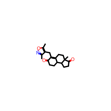 Cc1noc(C)c1CC1=C2CCC3(C)C(=O)CCC3C2CCC1=O